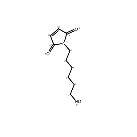 O=NCCCCCCN1C(=O)C=CC1=O